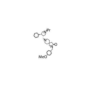 COc1ccc(CN2CC3(CCN(C[C@H]4CN(C(C)C)C[C@@H]4c4ccccc4)CC3)CC2=O)cc1